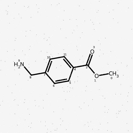 COC(=O)c1[c]cc(CN)cc1